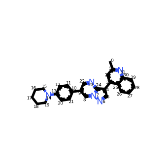 Cc1cc(-c2cnn3cc(-c4ccc(N5CCCCC5)cc4)cnc23)c2ccccc2n1